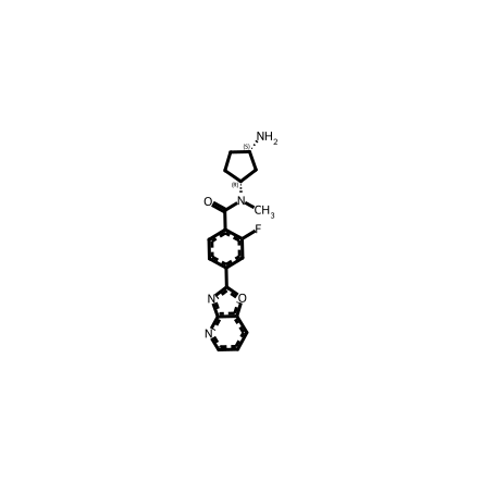 CN(C(=O)c1ccc(-c2nc3ncccc3o2)cc1F)[C@@H]1CC[C@H](N)C1